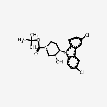 CC(C)(C)OC(=O)N1CC[C@@H](n2c3ccc(Cl)cc3c3cc(Cl)ccc32)[C@H](O)C1